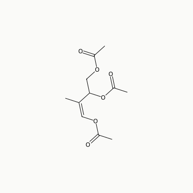 CC(=O)OC=C(C)C(COC(C)=O)OC(C)=O